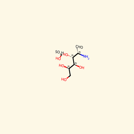 N[C@@H](C=O)[C@@H](O)[C@@H](O)[C@H](O)CO.O=S(=O)(O)O